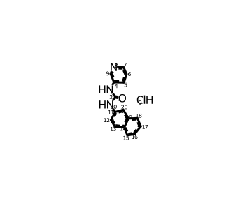 Cl.O=C(Nc1cccnc1)Nc1ccc2ccccc2c1